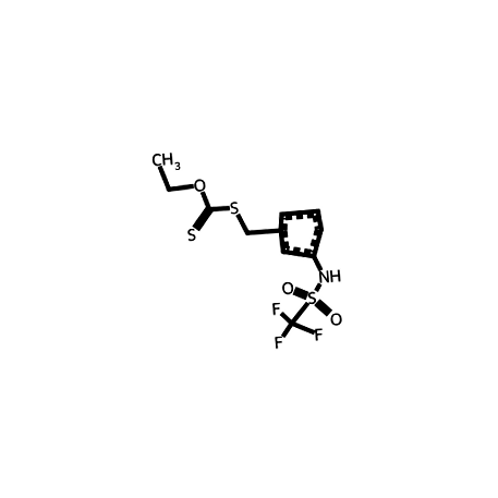 CCOC(=S)SCc1cccc(NS(=O)(=O)C(F)(F)F)c1